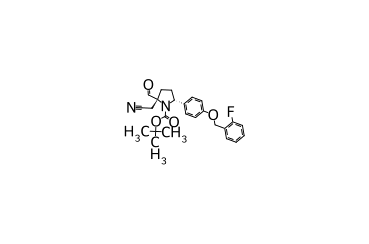 CC(C)(C)OC(=O)N1[C@@H](c2ccc(OCc3ccccc3F)cc2)CC[C@]1(C=O)CC#N